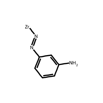 Nc1cccc(N=[N][Zr])c1